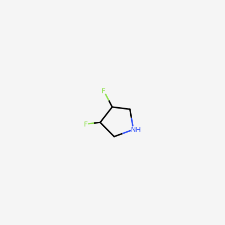 FC1CNCC1F